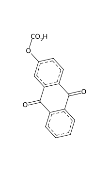 O=C(O)Oc1ccc2c(c1)C(=O)c1ccccc1C2=O